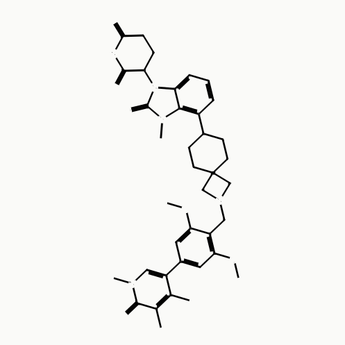 COc1cc(-c2cn(C)c(=O)c(C)c2C)cc(OC)c1CN1CC2(CCC(c3cccc4c3n(C)c(=O)n4C3CCC(=O)NC3=O)CC2)C1